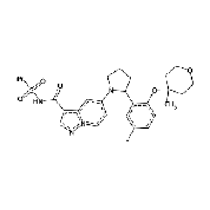 CC(C)S(=O)(=O)NC(=O)c1cnn2ccc(N3CCCC3c3cc(F)ccc3OC3(C)CCOCC3)cc12